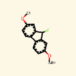 CCCCOc1ccc2c(c1)C(F)c1cc(OCC)ccc1-2